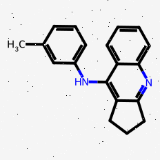 Cc1cccc(Nc2c3c(nc4ccccc24)CCC3)c1